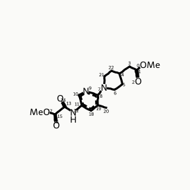 COC(=O)CC1CCN(c2ncc(NC(=O)C(=O)OC)cc2C)CC1